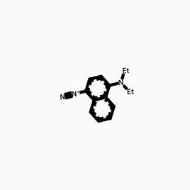 CCN(CC)c1ccc([N+]#N)c2ccccc12